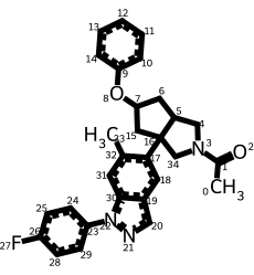 CC(=O)N1CC2CC(Oc3ccccc3)CC2(c2cc3cnn(-c4ccc(F)cc4)c3cc2C)C1